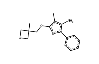 Cc1c(OCC2(C)COC2)nn(-c2ccccc2)c1N